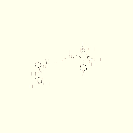 Cc1nc(NC(=O)c2ccccc2NC(=O)CCCCCCCNC(=O)C[C@@H]2N=C(c3ccc(Cl)cc3)c3c(sc(C)c3C)N3C2=NNC3C)sc1C